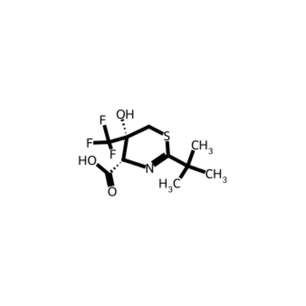 CC(C)(C)C1=N[C@H](C(=O)O)[C@@](O)(C(F)(F)F)CS1